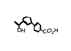 C=C(O)c1cccc(-c2ccc(C(=O)O)cc2)c1